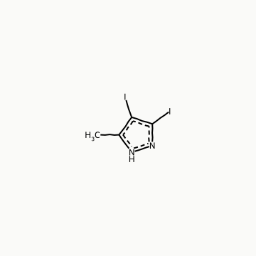 Cc1[nH]nc(I)c1I